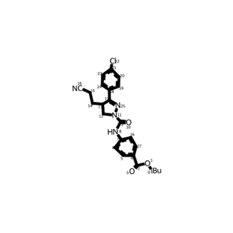 CCC(C)OC(=O)c1ccc(NC(=O)N2CC(CCC#N)C(c3ccc(Cl)cc3)=N2)cc1